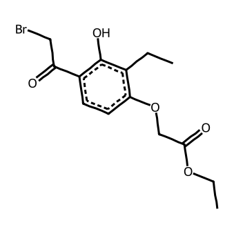 CCOC(=O)COc1ccc(C(=O)CBr)c(O)c1CC